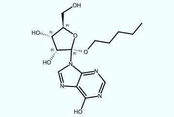 CCCCCO[C@@]1(n2cnc3c(O)ncnc32)O[C@H](CO)[C@@H](O)[C@H]1O